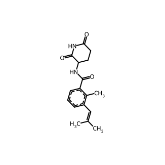 CC(C)=Cc1cccc(C(=O)NC2CCC(=O)NC2=O)c1C